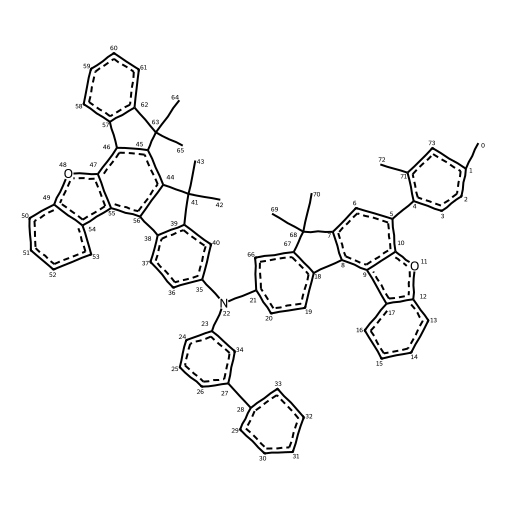 Cc1ccc(-c2cc3c(c4c2oc2ccccc24)-c2ccc(N(c4cccc(-c5ccccc5)c4)c4ccc5c(c4)C(C)(C)c4c6c(c7oc8ccccc8c7c4-5)-c4ccccc4C6(C)C)cc2C3(C)C)c(C)c1